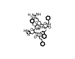 N=C(N)NCCC[C@H](NC(=O)[C@@H](Cc1ccccc1)NC(=O)[C@H](Cc1c[nH]cn1)NC(=O)CCCc1ccccc1)C(=O)N[C@@H](Cc1c[nH]c2ccccc12)C(=O)NCc1ccccc1